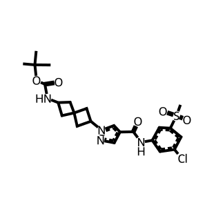 CC(C)(C)OC(=O)NC1CC2(C1)CC(n1cc(C(=O)Nc3cc(Cl)cc(S(C)(=O)=O)c3)cn1)C2